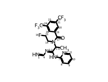 CC(/C(=N/C=N)Nc1ccccn1)N(CCF)C(=O)c1cc(C(F)(F)F)cc(C(F)(F)F)c1